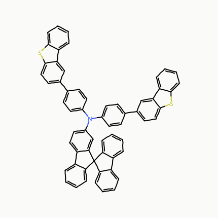 c1ccc2c(c1)-c1ccccc1C21c2ccccc2-c2ccc(N(c3ccc(-c4ccc5sc6ccccc6c5c4)cc3)c3ccc(-c4ccc5sc6ccccc6c5c4)cc3)cc21